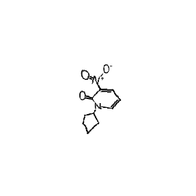 O=c1c([N+](=O)[O-])cccn1C1CCCC1